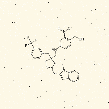 Cn1c(CN2CCC(CNc3ccc(CO)c([N+](=O)[O-])c3)(Cc3cccc(C(F)(F)F)c3)C2)cc2ccccc21